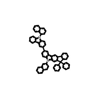 c1ccc(C2(c3ccccc3)c3ccccc3-c3cc4c5cc(-c6ccc7c(c6)c6ccccc6n7-c6cccc7ccccc67)ccc5n(-c5ccc6ccccc6c5)c4cc32)cc1